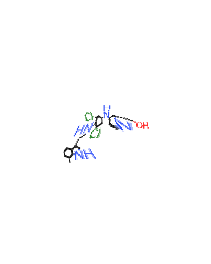 Cc1cccc2c(CCNc3c(Cl)cc(Nc4ccnc(CO)c4)cc3Cl)c[nH]c12